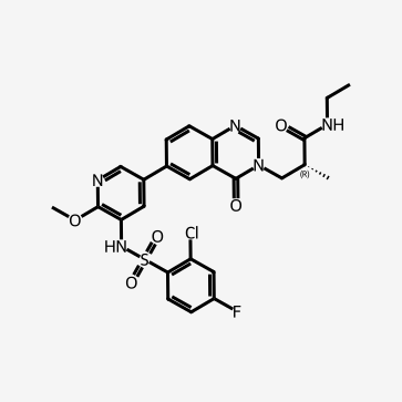 CCNC(=O)[C@H](C)Cn1cnc2ccc(-c3cnc(OC)c(NS(=O)(=O)c4ccc(F)cc4Cl)c3)cc2c1=O